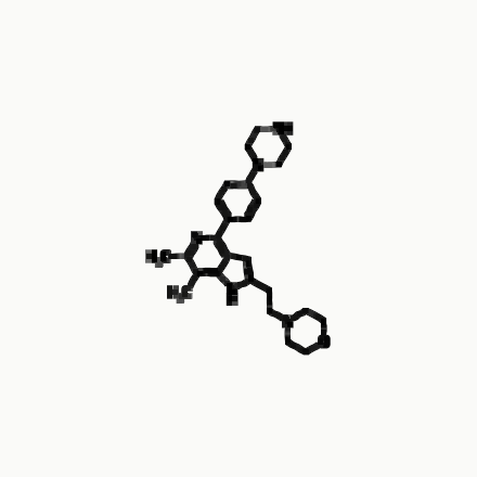 Cc1nc(-c2ccc(N3CCNCC3)cc2)c2cc(CCN3CCOCC3)[nH]c2c1C